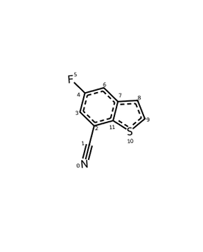 N#Cc1cc(F)cc2ccsc12